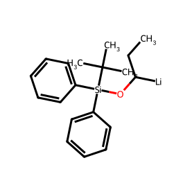 [Li][CH](CC)O[Si](c1ccccc1)(c1ccccc1)C(C)(C)C